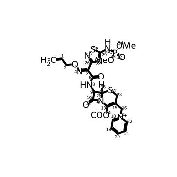 C=CCON=C(C(=O)NC1C(=O)N2C(C(=O)[O-])=C(C[n+]3ccccc3)CS[C@@H]12)c1nsc(NP(=O)(OC)OC)n1